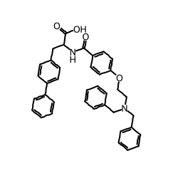 O=C(NC(Cc1ccc(-c2ccccc2)cc1)C(=O)O)c1ccc(OCCN(Cc2ccccc2)Cc2ccccc2)cc1